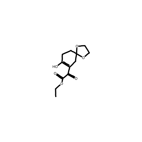 CCOC(=O)C(=O)C1=C(O)CCC2(C1)OCCO2